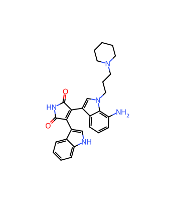 Nc1cccc2c(C3=C(c4c[nH]c5ccccc45)C(=O)NC3=O)cn(CCCN3CCCCC3)c12